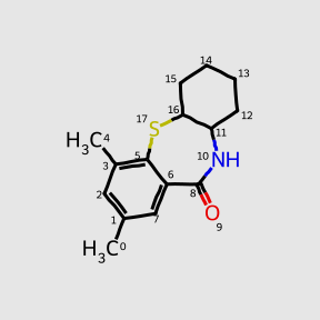 Cc1cc(C)c2c(c1)C(=O)NC1CCCCC1S2